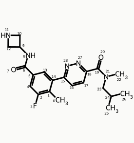 Cc1c(F)cc(C(=O)NC2CNC2)cc1-c1ccc(C(=O)N(C)CC(C)C)nn1